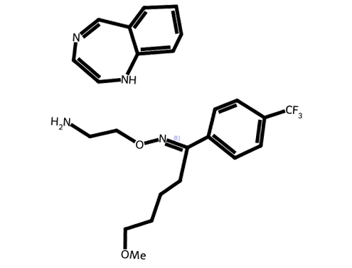 C1=CNc2ccccc2C=N1.COCCCC/C(=N\OCCN)c1ccc(C(F)(F)F)cc1